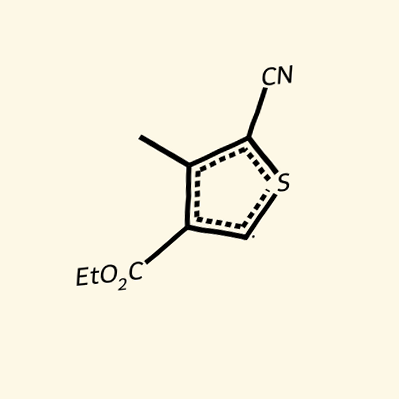 CCOC(=O)c1[c]sc(C#N)c1C